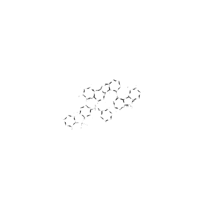 CC1(C)c2ccccc2-c2ccc(N(c3ccccc3)c3cc4c(oc5cccc(-c6cccc7sc8ccccc8c67)c54)c4ccccc34)cc21